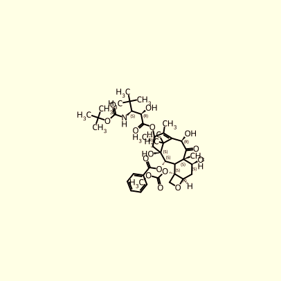 COC(=O)O[C@@]12CO[C@@H]1C[C@H](O)[C@@]1(C)C(=O)[C@H](O)C3=C(C)[C@](C)(OC(=O)[C@H](O)[C@@H](NC(=O)OC(C)(C)C)C(C)(C)C)C[C@@](O)([C@@H](OC(=O)c4ccccc4)C12)C3(C)C